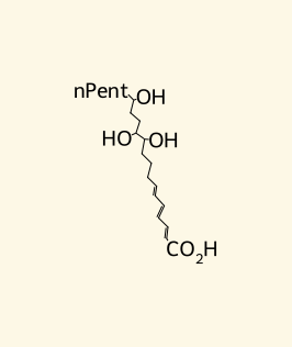 CCCCCC(O)CCC(O)C(O)CCC/C=C/C=C/C=C/C(=O)O